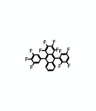 Fc1cc(-c2c3ccccc3c(-c3c(F)c(F)cc(F)c3F)c3c(F)c(F)c(F)c(F)c23)cc(F)c1F